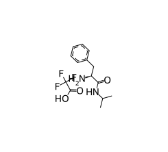 CC(C)NC(=O)[C@@H](N)Cc1ccccc1.O=C(O)C(F)(F)F